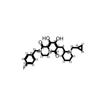 O=C1c2c(O)c(O)c(CC3CCCCN3CC3CC3)c(=O)n2CCN1Cc1ccc(F)cc1